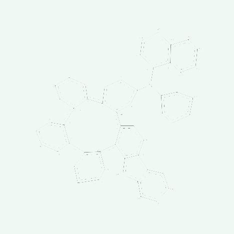 c1ccc(N(c2ccc3c4ccccc4c4ccccc4c4ccccc4c4c(ccc5c6ccccc6oc54)c3c2)c2cccc3ccccc23)cc1